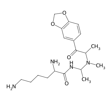 CC(NC(=O)C(N)CCCCN)N(C)C(C)C(=O)c1ccc2c(c1)OCO2